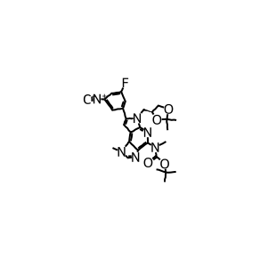 [C-]#[N+]c1cc(F)cc(-c2cc3c4c(ncn4C)c(N(C)C(=O)OC(C)(C)C)nc3n2C[C@H]2COC(C)(C)O2)c1